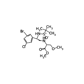 COCC(NC[C@H](N[S@+]([O-])C(C)(C)C)c1cc(Cl)cc(Br)c1)C(=O)OC